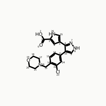 O=C(O)c1cc(-c2n[nH]cc2-c2ccc(CN3CCOCC3)c(Cl)c2)c[nH]1